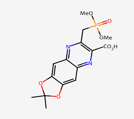 COP(=O)(Cc1nc2cc3c(cc2nc1C(=O)O)OC(C)(C)O3)OC